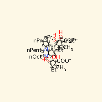 CCCCCCCCC(=Nc1ccc(CCC)c(CCC)c1)C(CCCCC)=Nc1ccc(CCC)c(CCC)c1.CCc1cc(O)c(O)c(C(=O)[O-])c1C.CCc1cc(O)c(O)c(C(=O)[O-])c1C.[Pd+2]